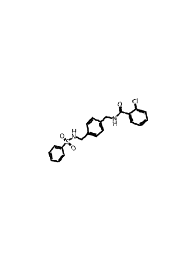 O=C(NCc1ccc(CNS(=O)(=O)c2ccccc2)cc1)c1ccccc1Cl